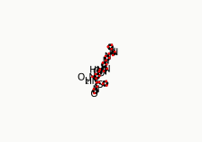 O=[N+]([O-])c1cc(S(=O)(=O)Nc2ncnc3cc(N4CCN(Cc5ccnn5-c5ccccc5)CC4)ccc23)ccc1NC(CCN1CCOCC1)CSc1ccccc1